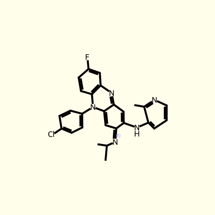 Cc1ncccc1Nc1cc2nc3cc(F)ccc3n(-c3ccc(Cl)cc3)c-2c/c1=N\C(C)C